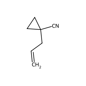 C=CCC1(C#N)CC1